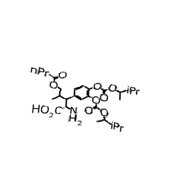 CCCC(=O)OCC(C)C(c1ccc(OC(=O)OC(C)C(C)C)c(OC(=O)OC(C)C(C)C)c1)[C@H](N)C(=O)O